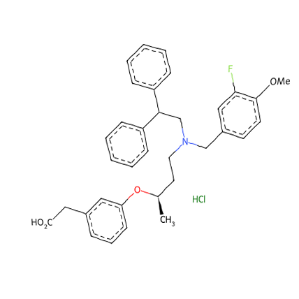 COc1ccc(CN(CC[C@@H](C)Oc2cccc(CC(=O)O)c2)CC(c2ccccc2)c2ccccc2)cc1F.Cl